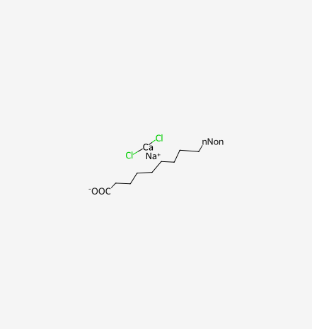 CCCCCCCCCCCCCCCCCC(=O)[O-].[Cl][Ca][Cl].[Na+]